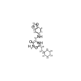 NC(=O)C(CNc1ccc2c(c1)OCO2)NC(=O)[CH]CC1CCCCC1